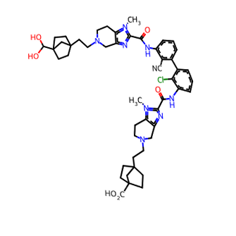 Cn1c(C(=O)Nc2cccc(-c3cccc(NC(=O)c4nc5c(n4C)CCN(CCC46CCC(C(O)O)(CC4)C6)C5)c3C#N)c2Cl)nc2c1CCN(CCC13CCC(C(=O)O)(CC1)C3)C2